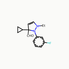 CCN1C=CC(C=O)(C2CC2)N1c1cccc(F)c1